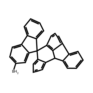 Bc1ccc2c(c1)C1(c3ccccc3-2)c2ccccc2C2c3ccccc3-c3cccc1c32